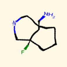 N[C@@]12CCC[C@]1(F)C[N]C2